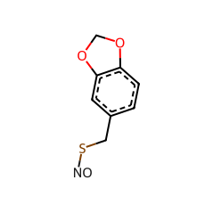 O=NSCc1ccc2c(c1)OCO2